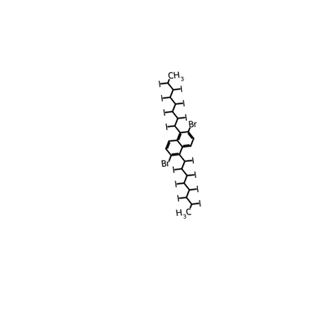 CC(I)C(I)C(I)C(I)C(I)C(I)C(I)c1c(Br)ccc2c(C(I)C(I)C(I)C(I)C(I)C(I)C(C)I)c(Br)ccc12